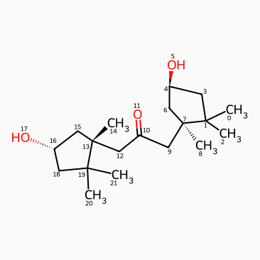 CC1(C)C[C@H](O)C[C@]1(C)CC(=O)C[C@@]1(C)C[C@@H](O)CC1(C)C